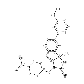 COc1cccc(-c2cccc(C3(C)NC(=N)N(CC4CCN(C(C)=O)CC4)C3=O)c2)c1